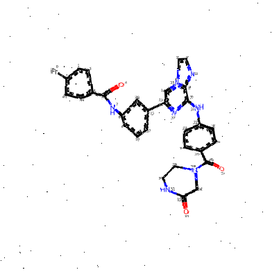 CC(C)c1ccc(C(=O)Nc2cccc(-c3cn4ccnc4c(Nc4ccc(C(=O)N5CCNC(=O)C5)cc4)n3)c2)cc1